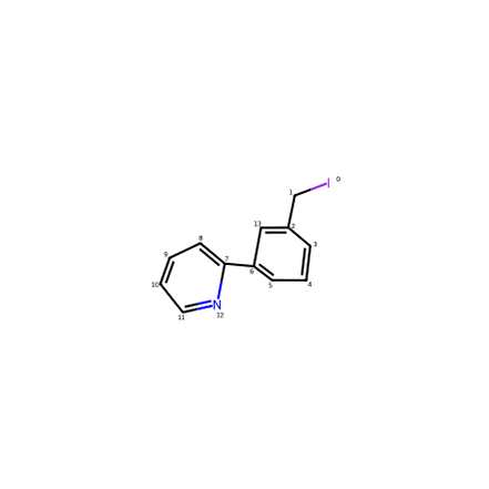 ICc1cccc(-c2ccccn2)c1